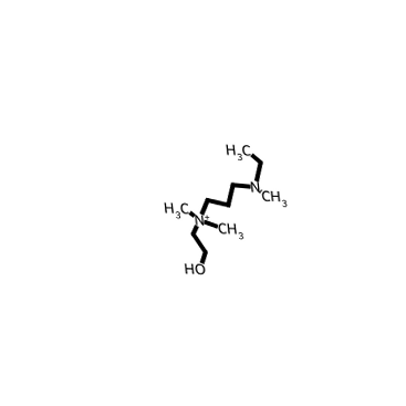 CCN(C)CCC[N+](C)(C)CCO